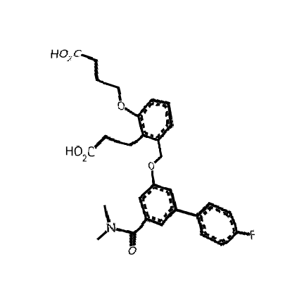 CN(C)C(=O)c1cc(OCc2cccc(OCCCC(=O)O)c2CCC(=O)O)cc(-c2ccc(F)cc2)c1